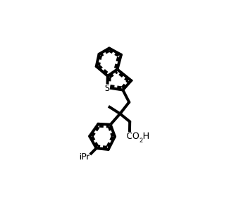 CC(C)c1ccc(C(C)(CC(=O)O)Cc2cc3ccccc3s2)cc1